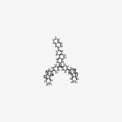 c1ccc2cc(-c3ccc4c(ccc5cc(N(c6ccc(-c7cnc8oc9ccccc9c8n7)cc6)c6ccc(-c7cnc8oc9ccccc9c8n7)cc6)ccc54)c3)ccc2c1